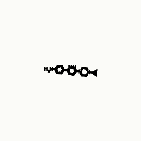 Nc1ccc(-c2ccc(N3CCN(C4CC4)CC3)nn2)cc1